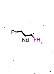 CCCCCP.[Nd]